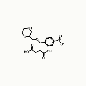 O=C(O)CCC(=O)O.O=[N+]([O-])c1ccc(COCC2CNCCO2)cc1